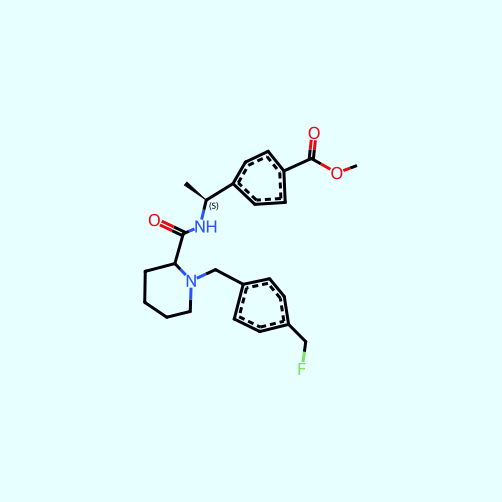 COC(=O)c1ccc([C@H](C)NC(=O)C2CCCCN2Cc2ccc(CF)cc2)cc1